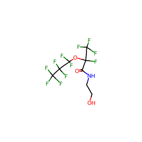 O=C(NCCO)C(F)(OC(F)(F)C(F)(F)C(F)(F)F)C(F)(F)F